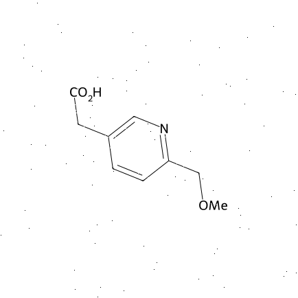 COCc1ccc(CC(=O)O)cn1